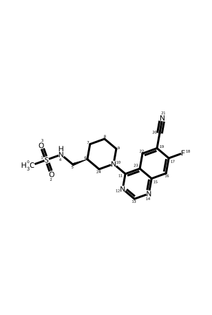 CS(=O)(=O)NC[C@H]1CCCN(c2ncnc3cc(F)c(C#N)cc23)C1